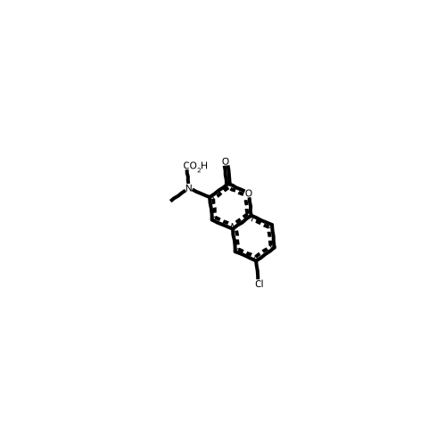 CN(C(=O)O)c1cc2cc(Cl)ccc2oc1=O